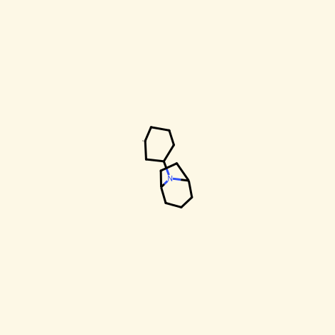 [CH]1CCCC(N2C3CCCC2CC3)C1